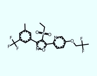 CCS(=O)(=O)c1c(-c2cc(C)cc(C(F)(F)F)c2)noc1-c1ccc(OCC(C)(F)F)cn1